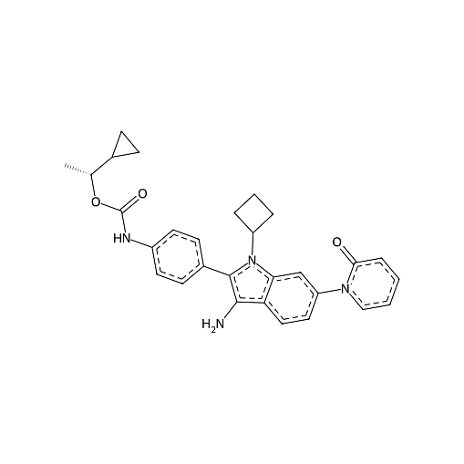 C[C@@H](OC(=O)Nc1ccc(-c2c(N)c3ccc(-n4ccccc4=O)cc3n2C2CCC2)cc1)C1CC1